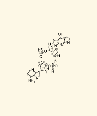 C=C1O[P@@](=O)(S)OC[C@H]2O[C@@H](n3cnc4c(N)ncnc43)[C@H](F)[C@@H]2O[P@](=O)(S)OC[C@H]2C[C@@H](n3cnc4c(O)n5ccnc5nc43)[C@H]12